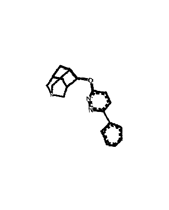 c1ccc(-c2ccc(OC3C4CC5CC3CN(C5)C4)nn2)cc1